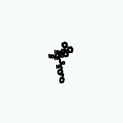 O=C(CCNC(=O)[C@H](CCO)NC(=O)CC(c1ccccc1)(c1ccccc1)c1ccccc1)NCC1CCCN(CC2CCCCC2)C1